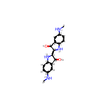 CNc1ccc2c(c1)C(=O)/C(=C1\Nc3ccc(NC)cc3C1=O)N2